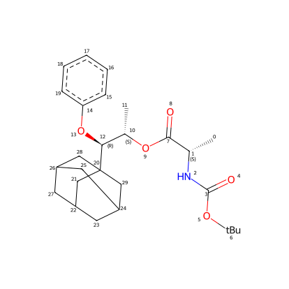 C[C@H](NC(=O)OC(C)(C)C)C(=O)O[C@@H](C)[C@H](Oc1ccccc1)C12CC3CC(CC(C3)C1)C2